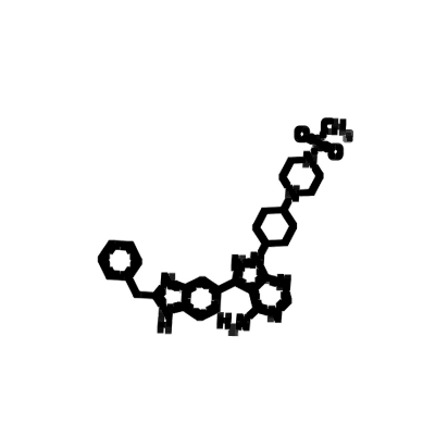 CS(=O)(=O)N1CCN(C2CCC(n3nc(-c4ccc5[nH]c(Cc6ccccc6)nc5c4)c4c(N)ncnc43)CC2)CC1